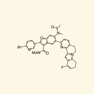 CNC(=O)c1c(-c2ccc(C(C)C)nc2)oc2cc(N(C)[S+](C)[O-])c(-c3ccc4c(n3)-c3cc5c(n3CC4)CCC=C5F)cc12